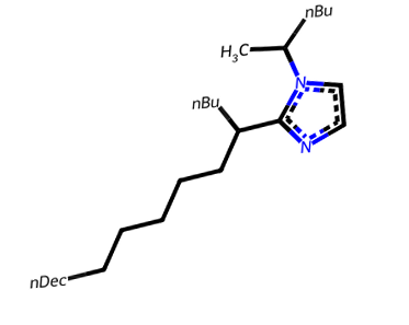 CCCCCCCCCCCCCCCC(CCCC)c1nccn1C(C)CCCC